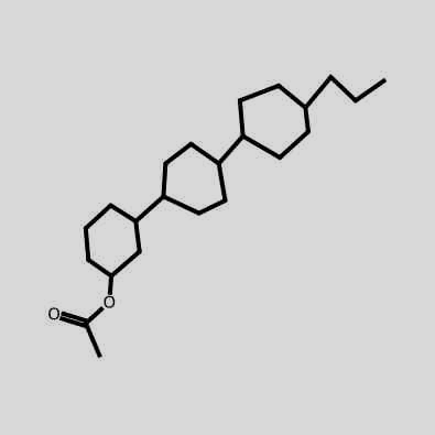 CCCC1CCC(C2CCC(C3CCCC(OC(C)=O)C3)CC2)CC1